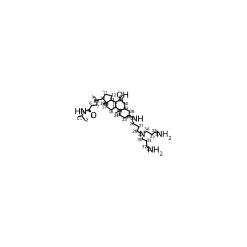 CC(C)NC(=O)CC[C@@H](C)C1CCC2C3C(CC[C@@]21C)[C@@]1(C)CC[C@H](NCCCN(CCCN)CCCN)CC1C[C@H]3O